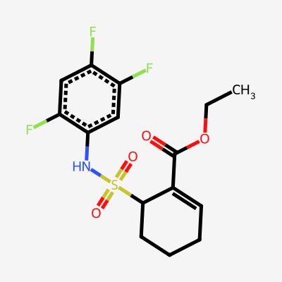 CCOC(=O)C1=CCCCC1S(=O)(=O)Nc1cc(F)c(F)cc1F